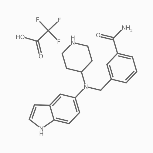 NC(=O)c1cccc(CN(c2ccc3[nH]ccc3c2)C2CCNCC2)c1.O=C(O)C(F)(F)F